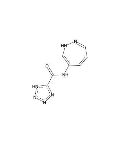 O=C(NC1=CNN=CC=C1)c1nnn[nH]1